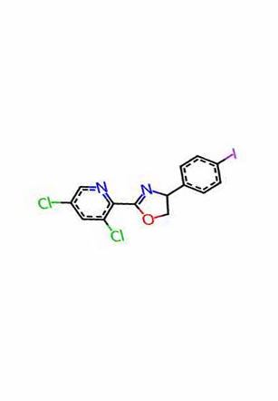 Clc1cnc(C2=NC(c3ccc(I)cc3)CO2)c(Cl)c1